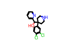 OC(c1ccccn1)C1(c2ccc(Cl)c(Cl)c2)CCNCC1